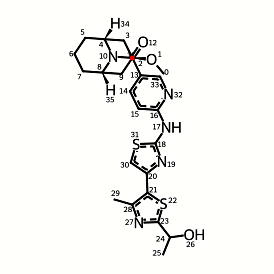 CO[C@@H]1C[C@H]2CCC[C@@H](C1)N2C(=O)c1ccc(Nc2nc(-c3sc(C(C)O)nc3C)cs2)nc1